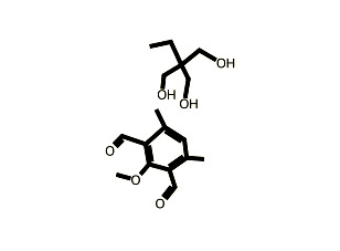 CCC(CO)(CO)CO.COc1c(C=O)c(C)cc(C)c1C=O